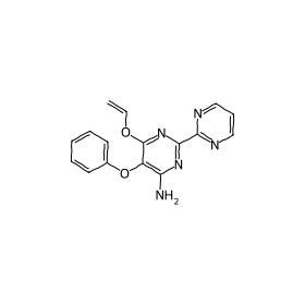 C=COc1nc(-c2ncccn2)nc(N)c1Oc1ccccc1